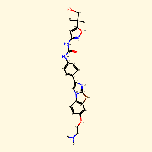 CN(C)CCOc1ccc2c(c1)sc1nc(-c3ccc(NC(=O)Nc4cc(C(C)(C)CO)on4)cc3)cn12